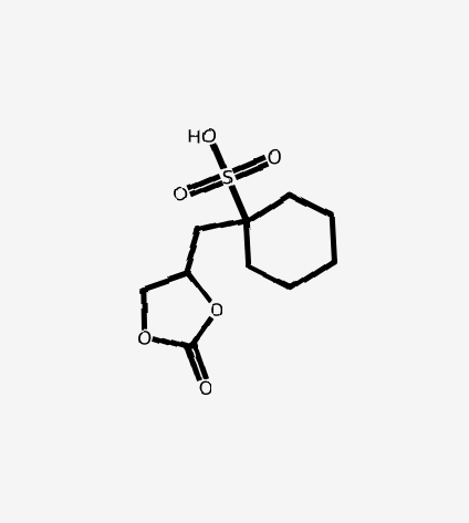 O=C1OCC(CC2(S(=O)(=O)O)CCCCC2)O1